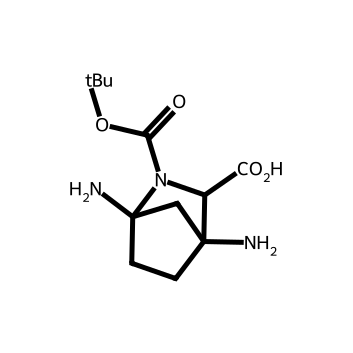 CC(C)(C)OC(=O)N1C(C(=O)O)C2(N)CCC1(N)C2